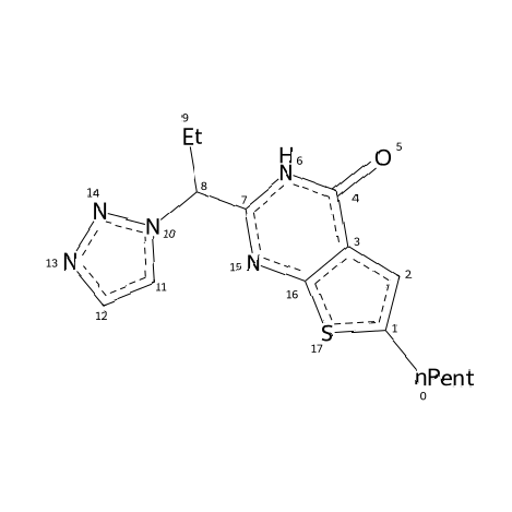 CCCCCc1cc2c(=O)[nH]c(C(CC)n3ccnn3)nc2s1